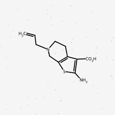 C=CCN1CCc2c(sc(N)c2C(=O)O)C1